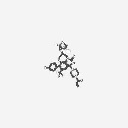 C=CC(=O)N1CCN(c2nc(=O)n3c4c(c(-c5ccc(F)cc5)c(C(F)(F)F)cc24)SCC(N2C[C@@H]4C[C@H]2CO4)C3)CC1